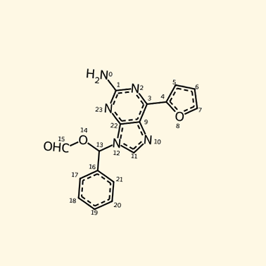 Nc1nc(-c2ccco2)c2ncn(C(OC=O)c3ccccc3)c2n1